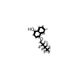 Oc1ccc(OCC(F)(F)C(F)(F)C(F)(F)F)c2ccccc12